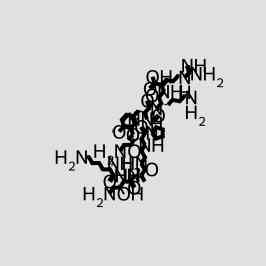 COc1ccc(C[C@H](NC(=O)[C@@H]2CCCN2C(=O)[C@@H](CCCN)NC(=O)CNC(=O)C(C)NC(=O)[C@@H](NC(=O)[C@@H](N)CCCCN)[C@@H](O)CN)C(=O)N[C@@H](CCCCN)C(=O)N/C(=C\CCNC(=N)N)C(=O)O)cc1OC